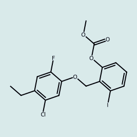 CCc1cc(F)c(OCc2c(I)cccc2OC(=O)OC)cc1Cl